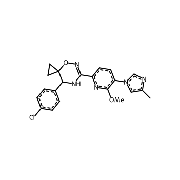 COc1nc(C2=NOC3(CC3)C(c3ccc(Cl)cc3)N2)ccc1-n1cnc(C)c1